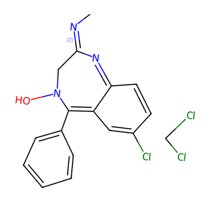 C/N=C1/CN(O)C(c2ccccc2)=c2cc(Cl)ccc2=N1.ClCCl